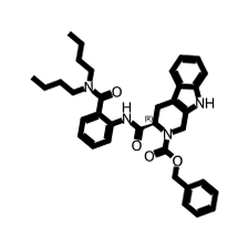 CCCCN(CCCC)C(=O)c1ccccc1NC(=O)[C@H]1Cc2c([nH]c3ccccc23)CN1C(=O)OCc1ccccc1